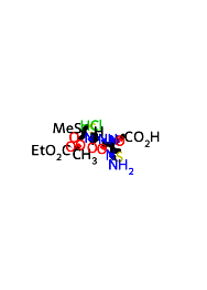 CCOC(=O)OC(C)OC(=O)C1=C(SC)CS[C@H]2C(NC(=O)C(=NOCC(=O)O)c3csc(N)n3)C(=O)N12.Cl